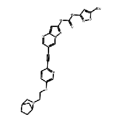 CC(C)(C)c1cc(NC(=O)Nc2cc3ncc(C#Cc4ccc(OCCN5CC6CCC5C6)cn4)cn3n2)no1